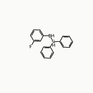 Fc1cccc(B[SiH](c2ccccc2)c2ccccc2)c1